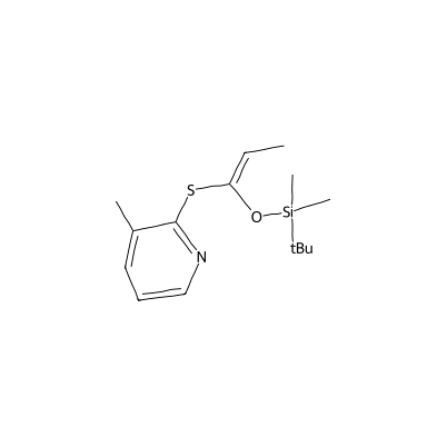 CC=C(O[Si](C)(C)C(C)(C)C)Sc1ncccc1C